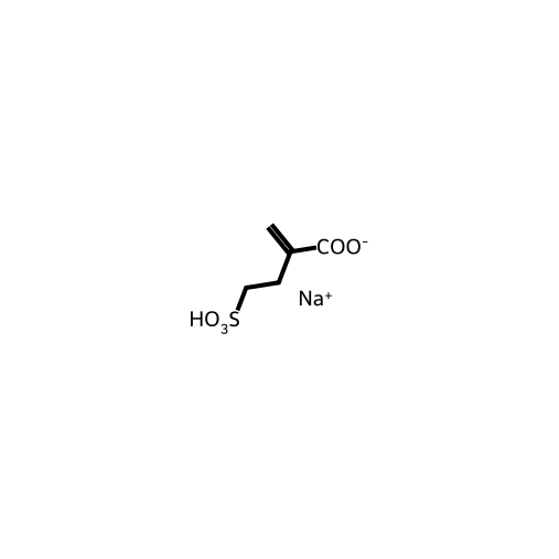 C=C(CCS(=O)(=O)O)C(=O)[O-].[Na+]